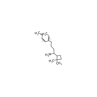 C=C/C=C\C(=C/C)CCCC(N)C1CCC1(C)C